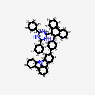 C1=Cc2c(c3cccc4c5ccc(-c6ccc(-c7c(C8=NC(c9ccccc9)NC(c9ccccc9)N8)c8ccccc8c8ccccc78)cc6)cc5n2c34)CC1